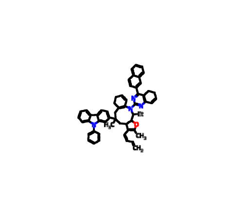 C=C/C=C\C1=C(C)OC2C1CC(C)(c1ccc3c4ccccc4n(-c4ccccc4)c3c1)CC1=C(C=CCC1)N(c1nc3c(c(-c4ccc5ccccc5c4)n1)CCC=C3)C2CC